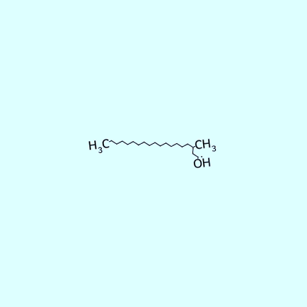 CCCCCCCCCCCCCCCCC(C)C[CH]O